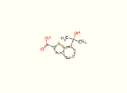 CC(C)(O)c1cccc2cc(C(=O)O)sc12